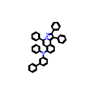 c1ccc(-c2cccc(N(c3ccccc3)c3cccc4c3cc(-c3ccccc3)n3nc(-c5ccccc5)c(-c5ccccc5)c43)c2)cc1